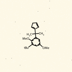 COc1cc(C(C)(C)C)c(OC)c(C(C)(C)C2=CCC=C2)c1